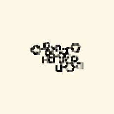 COc1c(Cl)ccc(Cl)c1C(=O)OC1C(OCc2ccccc2)OC2COC(c3ccccc3)OC2C1O